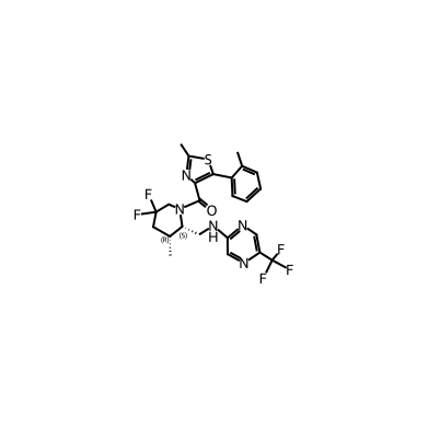 Cc1nc(C(=O)N2CC(F)(F)C[C@@H](C)[C@H]2CNc2cnc(C(F)(F)F)cn2)c(-c2ccccc2C)s1